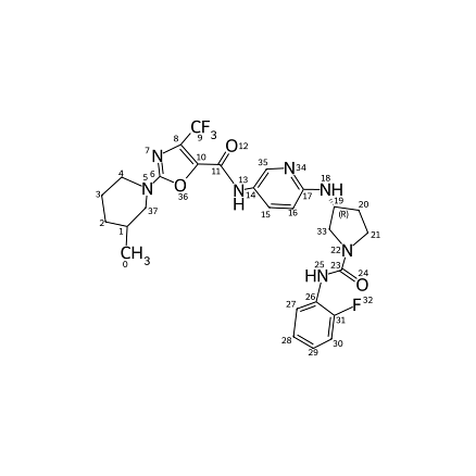 CC1CCCN(c2nc(C(F)(F)F)c(C(=O)Nc3ccc(N[C@@H]4CCN(C(=O)Nc5ccccc5F)C4)nc3)o2)C1